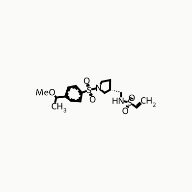 C=CS(=O)(=O)NC[C@H]1CCN(S(=O)(=O)c2ccc(C(C)OC)cc2)C1